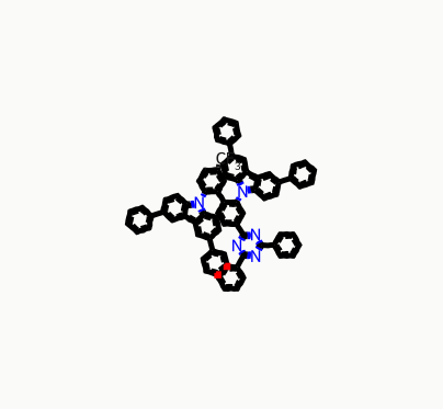 FC(F)(F)c1ccc(-n2c3ccc(-c4ccccc4)cc3c3cc(-c4ccccc4)ccc32)c(-c2ccc(-c3nc(-c4ccccc4)nc(-c4ccccc4)n3)cc2-n2c3ccc(-c4ccccc4)cc3c3cc(-c4ccccc4)ccc32)c1